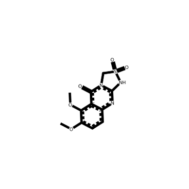 COc1ccc2nc3n(c(=O)c2c1OC)CS(=O)(=O)N3